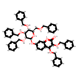 O=c1oc2cc(O[C@@H]3O[C@H](COCc4ccccc4)[C@@H](OCc4ccccc4)[C@H](OCc4ccccc4)[C@H]3OCc3ccccc3)ccc2c(OCc2ccccc2)c1OCc1ccccc1